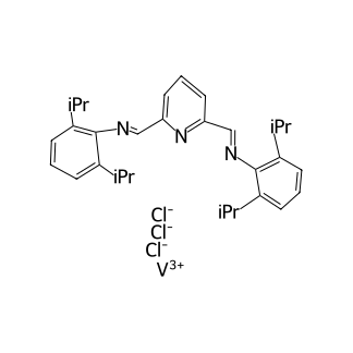 CC(C)c1cccc(C(C)C)c1N=Cc1cccc(C=Nc2c(C(C)C)cccc2C(C)C)n1.[Cl-].[Cl-].[Cl-].[V+3]